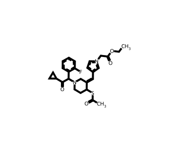 CCOC(=O)Cn1ccc(/C=C2\CN(C(C(=O)C3CC3)c3ccccc3F)CCC2SC(C)=O)c1